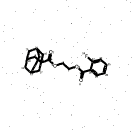 O=C(OCCOC(=O)C12CC3CC(CC(C3)C1)C2)c1ccccc1F